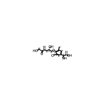 Cc1cc(C(=N)NO)cc(Cl)c1OC[C@@H](O)CNC(=O)CO